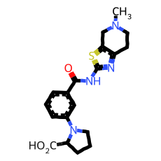 CN1CCc2nc(NC(=O)c3cccc(N4CCCC4C(=O)O)c3)sc2C1